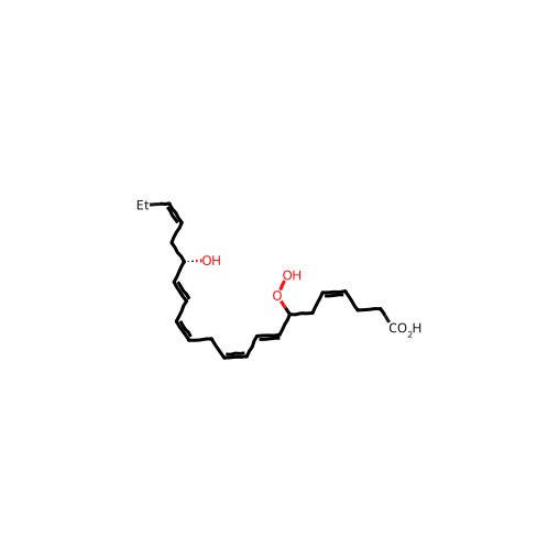 CC/C=C\C[C@H](O)/C=C/C=C\C/C=C\C=C\C(C/C=C\CCC(=O)O)OO